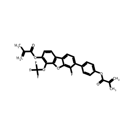 C=C(C)C(=O)Oc1ccc(-c2ccc3c(oc4c(OC(F)(F)F)c(OC(=O)C(=C)C)ccc43)c2F)cc1